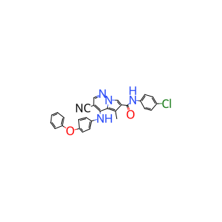 Cc1c(C(=O)Nc2ccc(Cl)cc2)cn2ncc(C#N)c(Nc3ccc(Oc4ccccc4)cc3)c12